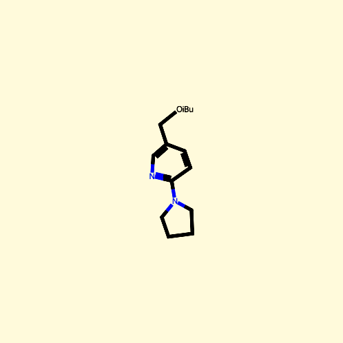 CC(C)COCc1ccc(N2CCCC2)nc1